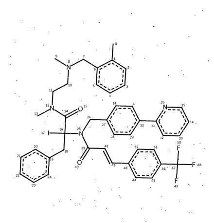 Cc1ccccc1CN(C)CCN(C)C(=O)C(I)(Cc1ccccc1)N(Cc1ccc(-c2ccccn2)cc1)C(=O)C=Cc1ccc(C(F)(F)F)cc1